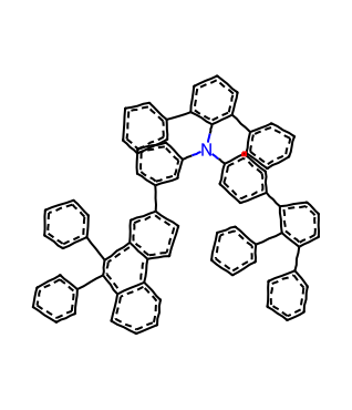 c1ccc(-c2cccc(-c3ccc(N(c4cccc(-c5ccc6c(c5)c(-c5ccccc5)c(-c5ccccc5)c5ccccc56)c4)c4c(-c5ccccc5)cccc4-c4ccccc4)cc3)c2-c2ccccc2)cc1